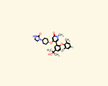 Cc1cc(F)cc(C)c1Oc1ccc(C(C)(C)O)cc1-c1cn(C)c(=O)cc1O[C@H]1CC[C@H](N2CCNC2=O)CC1